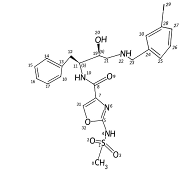 CS(=O)(=O)Nc1nc(C(=O)N[C@@H](Cc2ccccc2)[C@@H](O)CNCc2cccc(I)c2)co1